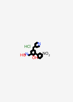 Cl.O=[N+]([O-])c1cccc(-c2cc(Cc3ccncc3)cc(C=NO)c2O)c1